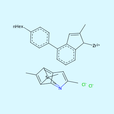 CC1=CC2=C3C(C)=C(C2=N1)[Si]3(C)C.CCCCCCc1ccc(-c2cccc3c2C=C(C)[CH]3[Zr+2])cc1.[Cl-].[Cl-]